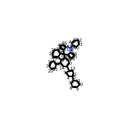 C1=C(c2ccc(-c3ccccc3)cc2)C=C(c2ccccc2)C2=C(C1)C1(c3ccccc32)c2ccccc2N(c2ccccc2)c2ccccc21